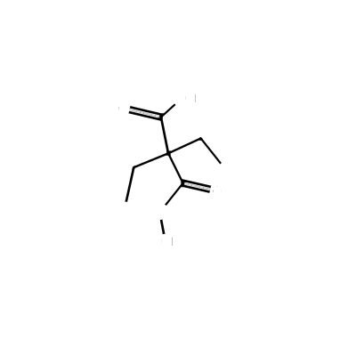 CCC(CC)(C(=O)O)C(=O)OO